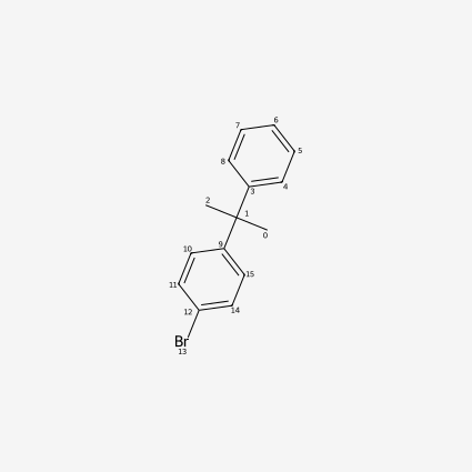 CC(C)(c1ccccc1)c1ccc(Br)cc1